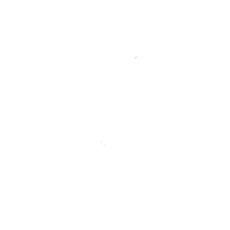 CSCCCCCCN1CCOCC1